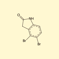 O=C1Cc2c(ccc(Br)c2Br)N1